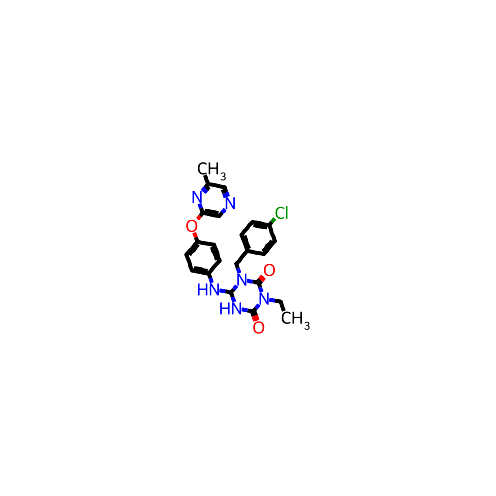 CCN1C(=O)NC(Nc2ccc(Oc3cncc(C)n3)cc2)N(Cc2ccc(Cl)cc2)C1=O